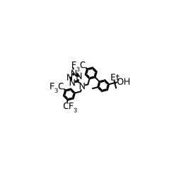 CCC(C)(O)c1ccc(C)c(-c2ccc(C(F)(F)F)cc2CN(Cc2cc(C(F)(F)F)cc(C(F)(F)F)c2)c2nnn(C)n2)c1